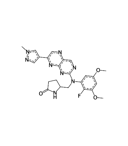 COc1cc(OC)c(F)c(N(CC2CCC(=O)N2)c2ncc3ncc(-c4cnn(C)c4)nc3n2)c1